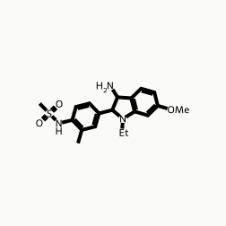 CCN1c2cc(OC)ccc2C(N)C1c1ccc(NS(C)(=O)=O)c(C)c1